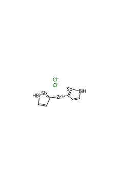 [CH]1=C[C]([Zr+2][C]2=[Sb][BiH][CH]=C2)=[Sb][BiH]1.[Cl-].[Cl-]